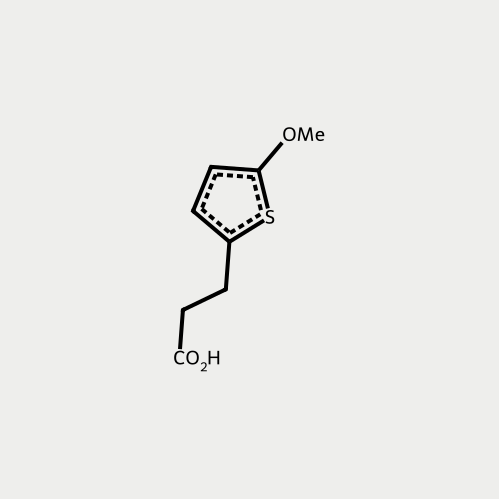 COc1ccc(CCC(=O)O)s1